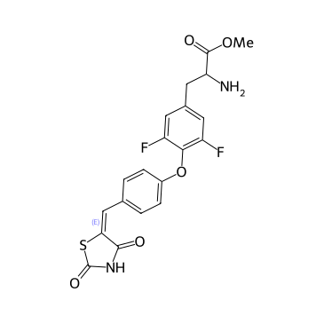 COC(=O)C(N)Cc1cc(F)c(Oc2ccc(/C=C3/SC(=O)NC3=O)cc2)c(F)c1